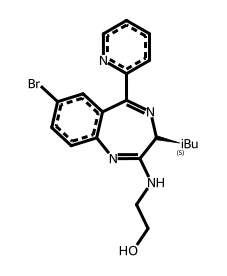 CC[C@H](C)C1N=C(c2ccccn2)c2cc(Br)ccc2N=C1NCCO